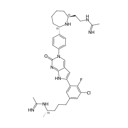 CC(=N)NCC[C@@H]1CCCC[C@@H](c2ccc(-n3cc4cc(-c5cc(CCC[C@H](C)NC(C)=N)cc(Cl)c5F)[nH]c4nc3=O)cc2)N1